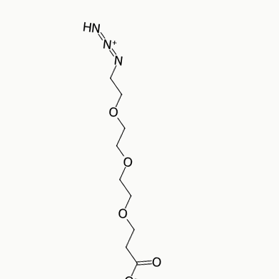 N=[N+]=NCCOCCOCCOCCC(=O)[O-]